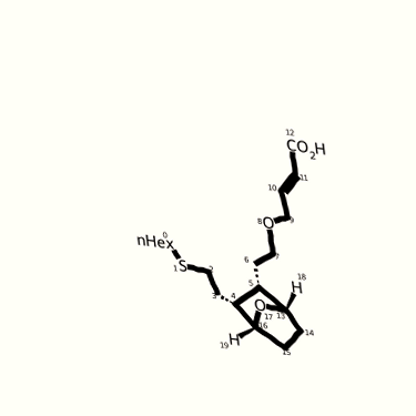 CCCCCCSCC[C@@H]1[C@H](CCOC/C=C/C(=O)O)[C@@H]2CC[C@H]1O2